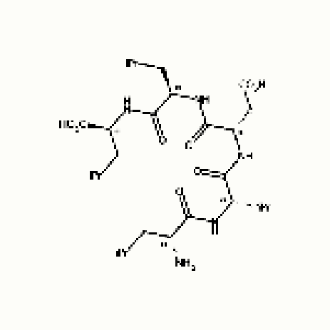 CC(C)C[C@@H](N)C(=O)N[C@H](C(=O)N[C@@H](CC(=O)O)C(=O)N[C@H](CC(C)C)C(=O)N[C@@H](CC(C)C)C(=O)O)C(C)C